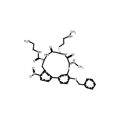 CNCCC[C@@H]1NC(=O)[C@@H](NC)Cc2cc(ccc2OCc2ccccc2)-c2ccc([N+](=O)[O-])c(c2)C[C@@H](C(=O)NCCN)NC1=O